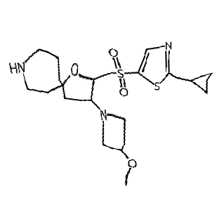 COC1CN(C2CC3(CCNCC3)OC2S(=O)(=O)c2cnc(C3CC3)s2)C1